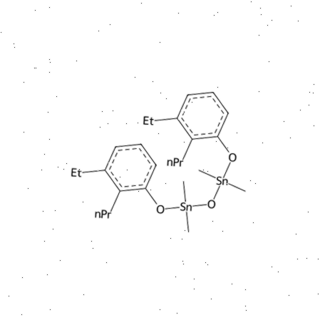 CCCc1c(CC)cccc1[O][Sn]([CH3])([CH3])[O][Sn]([CH3])([CH3])[O]c1cccc(CC)c1CCC